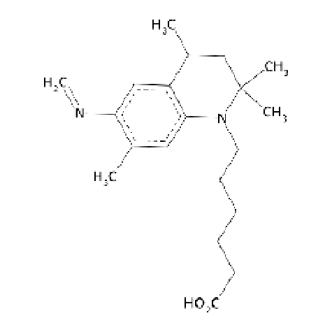 C=Nc1cc2c(cc1C)N(CCCCCC(=O)O)C(C)(C)CC2C